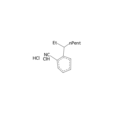 CCCCCC(CC)c1ccccc1C#N.Cl.Cl